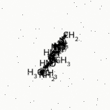 C=CCn1cc(-c2cnc3c(Nc4ccc(C(=O)NCCOCC(C)(C)N)c(CC)c4)nccn23)c(C(F)(F)F)n1